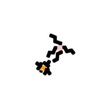 CC(C)(C)[P+](C)(C(C)(C)C)C(C)(C)C.CCCC[B-](CCCC)(CCCC)CCCC